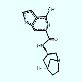 Cc1nc(C(=O)N[C@@H]2C[C@@H]3CCN(C3)C2)cc2sccc12